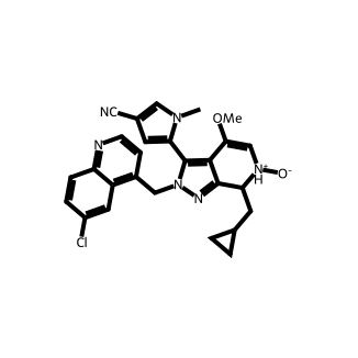 COC1=C[NH+]([O-])C(CC2CC2)c2nn(Cc3ccnc4ccc(Cl)cc34)c(-c3cc(C#N)cn3C)c21